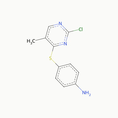 Cc1cnc(Cl)nc1Sc1ccc(N)cc1